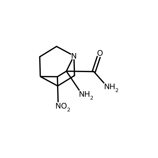 NC(=O)C1(N)C([N+](=O)[O-])C2CCN1CC2